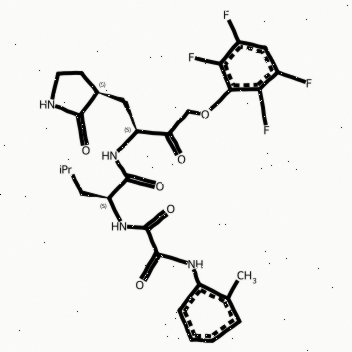 Cc1ccccc1NC(=O)C(=O)N[C@@H](CC(C)C)C(=O)N[C@@H](C[C@@H]1CCNC1=O)C(=O)COc1c(F)c(F)cc(F)c1F